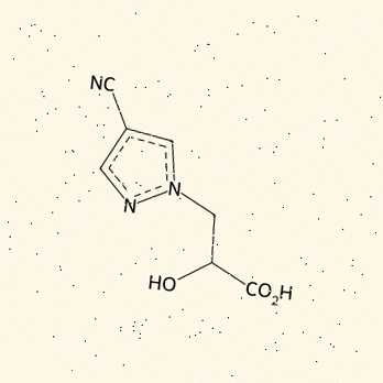 N#Cc1cnn(CC(O)C(=O)O)c1